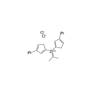 C[C](C)=[Zr+2]([C]1=CC(C(C)C)=CC1)[C]1=CC(C(C)C)=CC1.[Cl-].[Cl-]